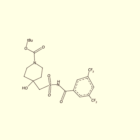 CC(C)(C)OC(=O)N1CCC(O)(CS(=O)(=O)NC(=O)c2cc(C(F)(F)F)cc(C(F)(F)F)c2)CC1